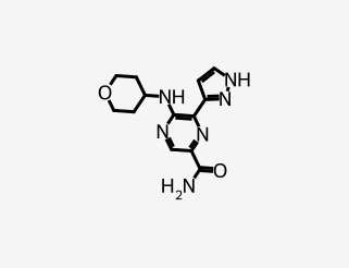 NC(=O)c1cnc(NC2CCOCC2)c(-c2cc[nH]n2)n1